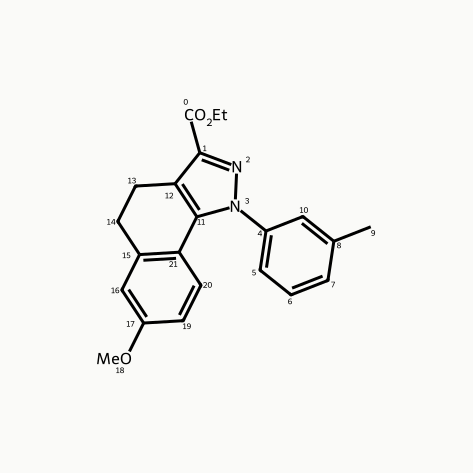 CCOC(=O)c1nn(-c2cccc(C)c2)c2c1CCc1cc(OC)ccc1-2